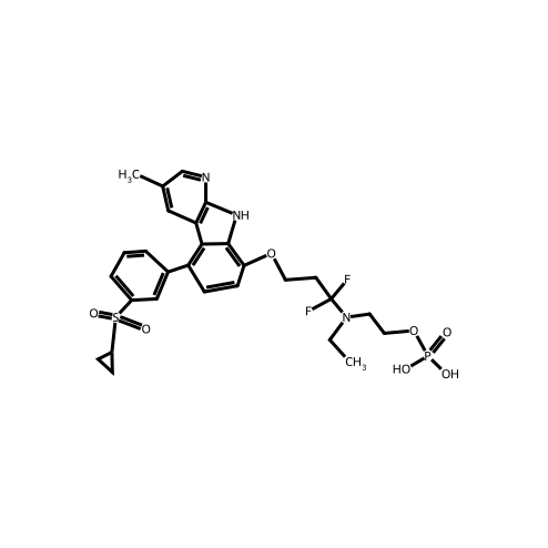 CCN(CCOP(=O)(O)O)C(F)(F)CCOc1ccc(-c2cccc(S(=O)(=O)C3CC3)c2)c2c1[nH]c1ncc(C)cc12